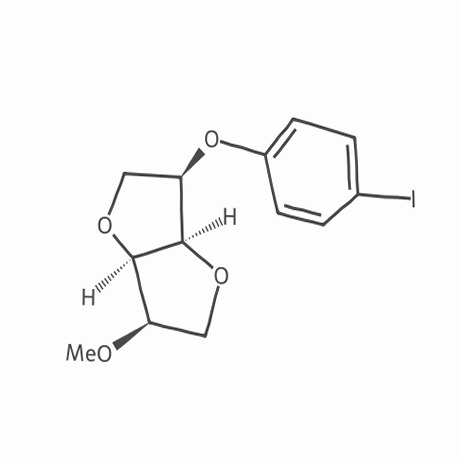 CO[C@@H]1CO[C@H]2[C@@H]1OC[C@H]2Oc1ccc(I)cc1